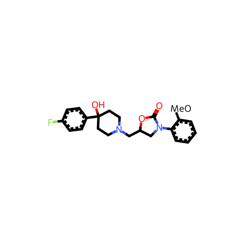 COc1ccccc1N1CC(CN2CCC(O)(c3ccc(F)cc3)CC2)OC1=O